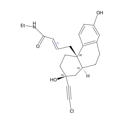 CCNC(=O)/C=C/C[C@]12CC[C@@](O)(C#CCl)C[C@@H]1CCc1cc(O)ccc12